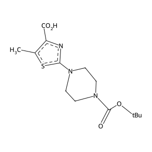 Cc1sc(N2CCN(C(=O)OC(C)(C)C)CC2)nc1C(=O)O